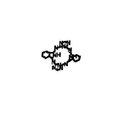 c1ccc2c3nc4ncnc(n4)nc4[nH]c(nc5ncnc(n5)nc([nH]3)c2c1)c1ccccc41